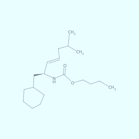 CCCCOC(=O)N[C@H](C=CCC(C)C)CC1CCCCC1